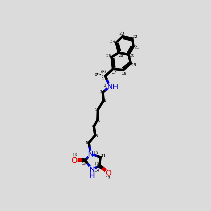 C[C@@H](NCCCCCCCN1CC(=O)NC1=O)c1ccc2ccccc2c1